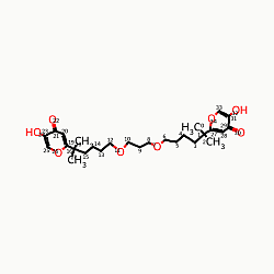 CC(C)(CCCCOCCCOCCCCC(C)(C)c1cc(=O)c(O)co1)c1cc(=O)c(O)co1